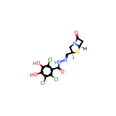 C[C@]1(/C=N/NC(=O)c2c(Cl)c(O)c(O)c(Cl)c2Cl)CN2C(=O)C[C@H]2S1